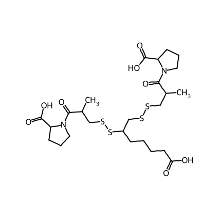 CC(CSSCC(CCCCC(=O)O)SSCC(C)C(=O)N1CCCC1C(=O)O)C(=O)N1CCCC1C(=O)O